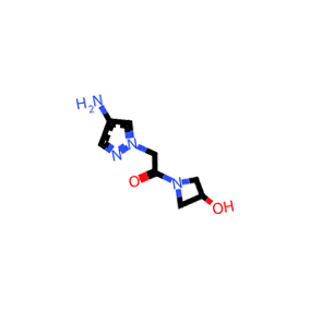 Nc1cnn(CC(=O)N2CC(O)C2)c1